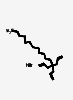 Br.C=CCC(CC=C)(CC=C)CCCCCCCCCCCN